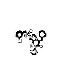 O=C(Nc1nccs1)[C@H](CC1CCCCC1)N1CCN(S(=O)(=O)Cc2cccc(Cl)c2)CC1=O